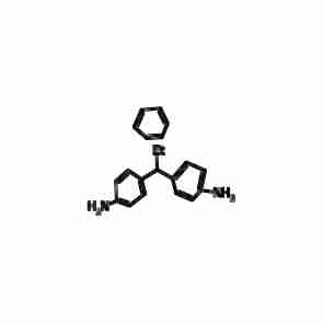 CCC(c1ccc(N)cc1)c1ccc(N)cc1.c1ccccc1